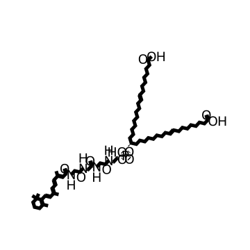 CC(C=CC1=C(C)CCCC1(C)C)=CC=CC(C)=CC(=O)NCC(=O)NCC(=O)NCC(=O)NCCOP(=O)(O)OC[C@@H](CCCCCCCCC=CCCCCCCCC(=O)O)CCCCCCCCCC=CCCCCCCCC(=O)O